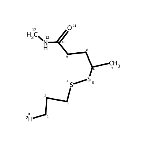 [2H]CCCSSC(C)CCC(=O)NC